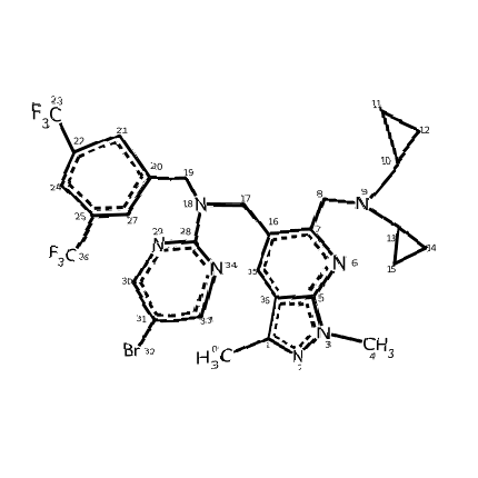 Cc1nn(C)c2nc(CN(C3CC3)C3CC3)c(CN(Cc3cc(C(F)(F)F)cc(C(F)(F)F)c3)c3ncc(Br)cn3)cc12